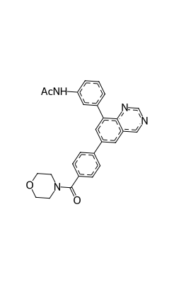 CC(=O)Nc1cccc(-c2cc(-c3ccc(C(=O)N4CCOCC4)cc3)cc3cncnc23)c1